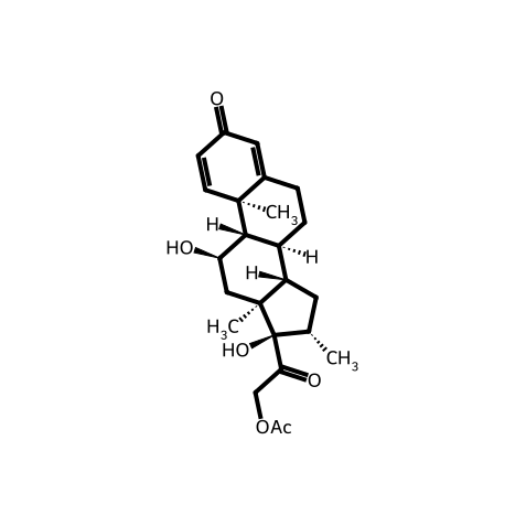 CC(=O)OCC(=O)[C@@]1(O)[C@@H](C)C[C@H]2[C@@H]3CCC4=CC(=O)C=C[C@]4(C)[C@H]3[C@H](O)C[C@@]21C